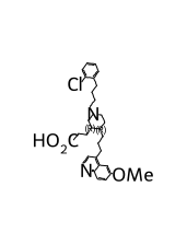 COc1ccc2nccc(CCC[C@@H]3CCN(CCCCc4ccccc4Cl)C[C@@H]3CCC(=O)O)c2c1